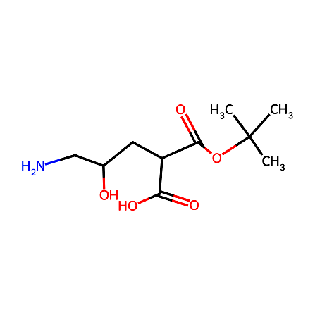 CC(C)(C)OC(=O)C(CC(O)CN)C(=O)O